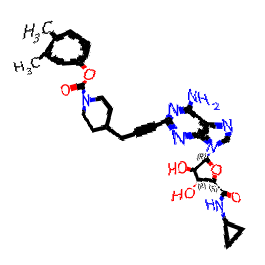 Cc1ccc(OC(=O)N2CCC(CC#Cc3nc(N)c4ncn([C@@H]5O[C@H](C(=O)NC6CC6)[C@H](O)C5O)c4n3)CC2)cc1C